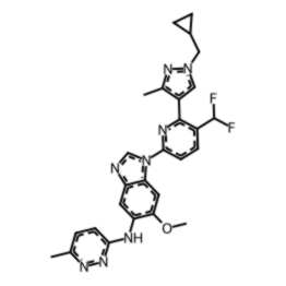 COc1cc2c(cc1Nc1ccc(C)nn1)ncn2-c1ccc(C(F)F)c(-c2cn(CC3CC3)nc2C)n1